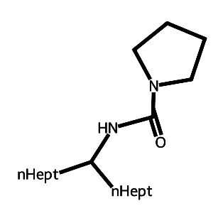 CCCCCCCC(CCCCCCC)NC(=O)N1CCCC1